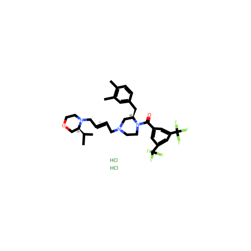 Cc1ccc(C[C@@H]2CN(C/C=C/CN3CCOC[C@@H]3C(C)C)CCN2C(=O)c2cc(C(F)(F)F)cc(C(F)(F)F)c2)cc1C.Cl.Cl